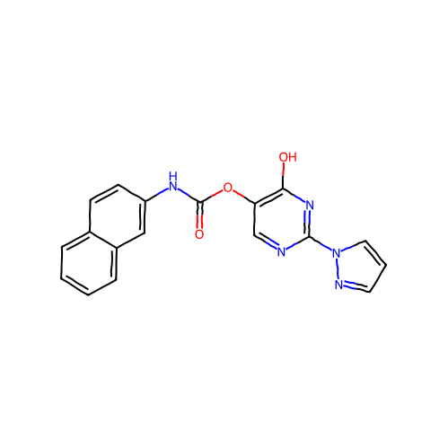 O=C(Nc1ccc2ccccc2c1)Oc1cnc(-n2cccn2)nc1O